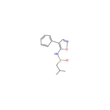 CC(C)C[S+]([O-])Nc1oncc1-c1ccccc1